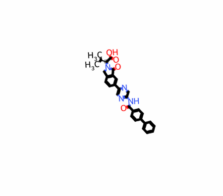 CC(C)[C@@H](C(=O)O)N1Cc2ccc(-c3cnc(NC(=O)c4ccc(-c5ccccc5)cc4)cn3)cc2C1=O